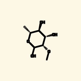 CO[C@@H]1C(O)O[C@H](C)[C@@H](O)[C@@H]1O